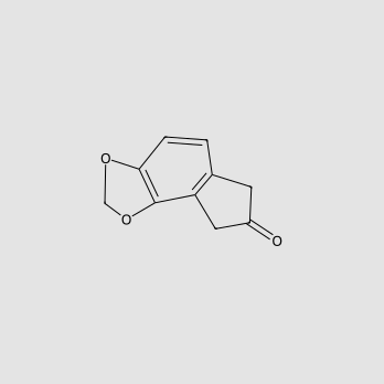 O=C1Cc2ccc3c(c2C1)OCO3